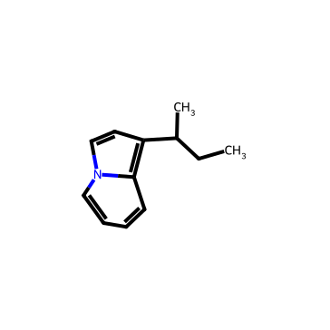 CCC(C)c1ccn2ccccc12